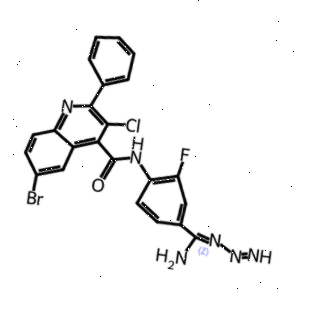 N=N/N=C(\N)c1ccc(NC(=O)c2c(Cl)c(-c3ccccc3)nc3ccc(Br)cc23)c(F)c1